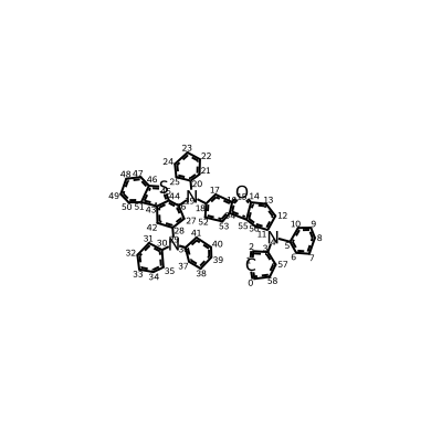 c1ccc(N(c2ccccc2)c2ccc3oc4cc(N(c5ccccc5)c5cc(N(c6ccccc6)c6ccccc6)cc6c5sc5ccccc56)ccc4c3c2)cc1